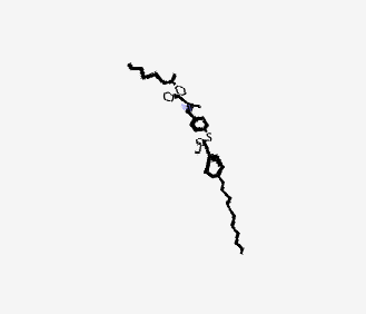 CCCCCCCCCCc1ccc(C(=S)Sc2ccc(/C=C(\C)C(=O)OC(C)CCCCCC)cc2)cc1